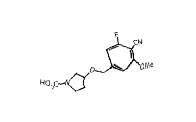 COc1cc(COC2CCN(C(=O)O)C2)cc(F)c1C#N